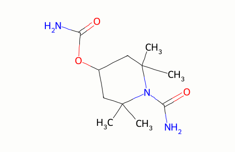 CC1(C)CC(OC(N)=O)CC(C)(C)N1C(N)=O